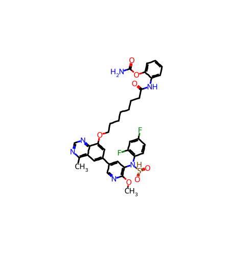 COc1ncc(-c2cc(OCCCCCCCC(=O)Nc3ccccc3OC(N)=O)c3ncnc(C)c3c2)cc1N(c1ccc(F)cc1F)[SH](=O)=O